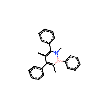 CC1=C(c2ccccc2)C(C)=C(c2ccccc2)N(C)B1c1ccccc1